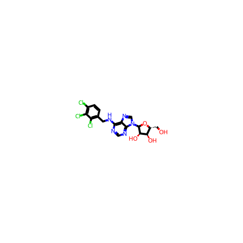 OC[C@H]1OC(n2cnc3c(NCc4ccc(Cl)c(Cl)c4Cl)ncnc32)[C@H](O)[C@@H]1O